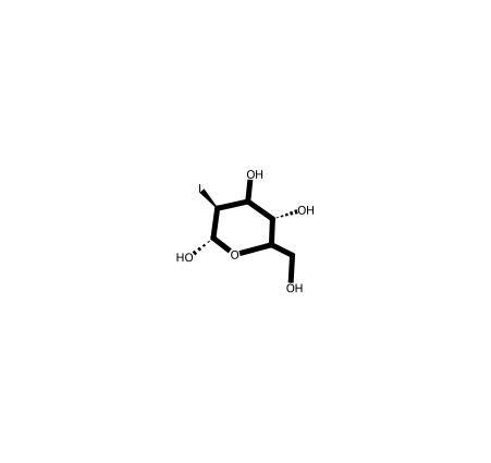 OCC1O[C@H](O)[C@@H](I)C(O)[C@@H]1O